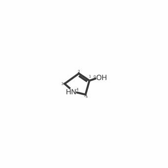 OC1=CCN[C]1